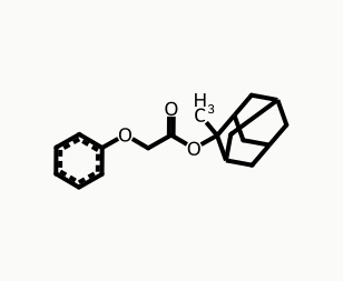 CC1(OC(=O)COc2ccccc2)C2CC3CC(C2)CC1C3